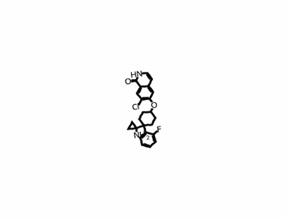 NC1(C2(c3ccccc3F)CCC(Oc3cc4cc[nH]c(=O)c4cc3Cl)CC2)CC1